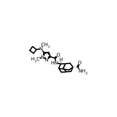 CN(c1cc(C(=O)N[C@H]2C3CC4CC2C[C@](C(N)=O)(C4)C3)nn1C)C1CCC1